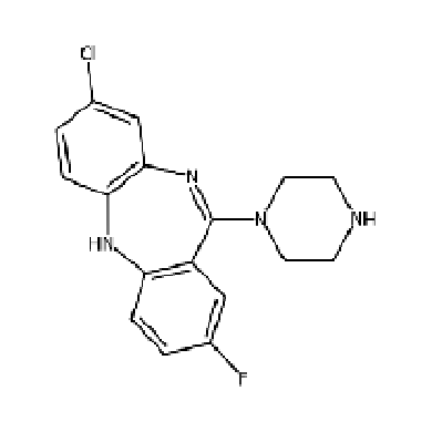 Fc1ccc2c(c1)C(N1CCNCC1)=Nc1cc(Cl)ccc1N2